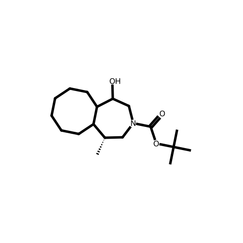 C[C@H]1CN(C(=O)OC(C)(C)C)CC(O)C2CCCCCCC21